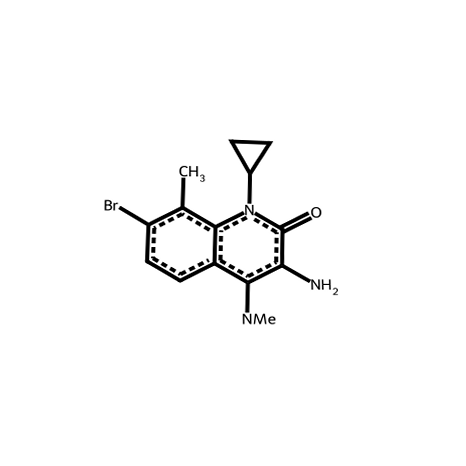 CNc1c(N)c(=O)n(C2CC2)c2c(C)c(Br)ccc12